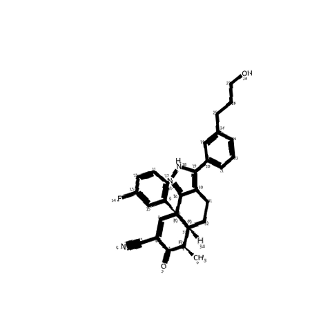 C[C@H]1C(=O)C(C#N)=C[C@]2(c3cccc(F)c3)c3n[nH]c(-c4cccc(CCCO)c4)c3CC[C@H]12